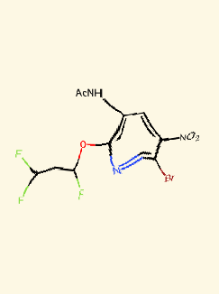 CC(=O)Nc1cc([N+](=O)[O-])c(Br)nc1OC(F)C(F)F